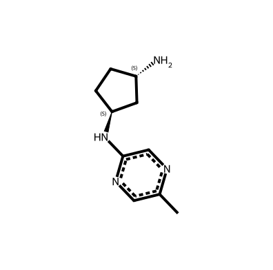 Cc1cnc(N[C@H]2CC[C@H](N)C2)cn1